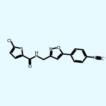 [C-]#[N+]c1ccc(-c2cc(CNC(=O)c3ccc(Cl)s3)no2)cc1